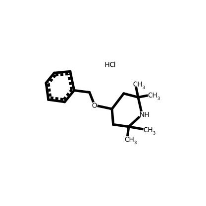 CC1(C)CC(OCc2ccccc2)CC(C)(C)N1.Cl